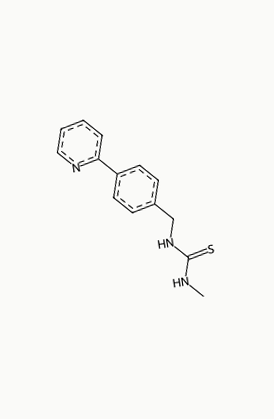 CNC(=S)NCc1ccc(-c2ccccn2)cc1